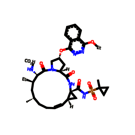 CCOc1nnc(O[C@@H]2C[C@H]3C(=O)N[C@]4(C(=O)NS(=O)(=O)C5(C)CC5)C[C@H]4/C=C\CC[C@H](C)C[C@@H](CC)[C@H](NC(=O)O)C(=O)N3C2)c2ccccc12